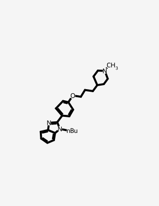 CCCCn1c(-c2ccc(OCCCC3CCN(C)CC3)cc2)nc2ccccc21